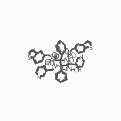 O=C(O)C(c1ccccc1)(N(Cc1cccnc1)S(=O)(=O)Cc1ccc2sccc2c1)[C@](C(=O)NO)(c1ccccc1)N(Cc1cccnc1)S(=O)(=O)Cc1ccc2sccc2c1